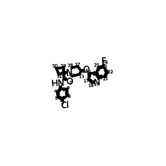 O=C(Nc1ccc(Cl)cc1)C1(N2CCC(Oc3ccnc4ccc(F)cc34)CC2)CCC1